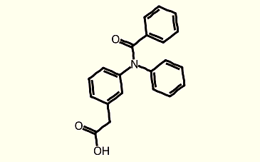 O=C(O)Cc1cccc(N(C(=O)c2ccccc2)c2ccccc2)c1